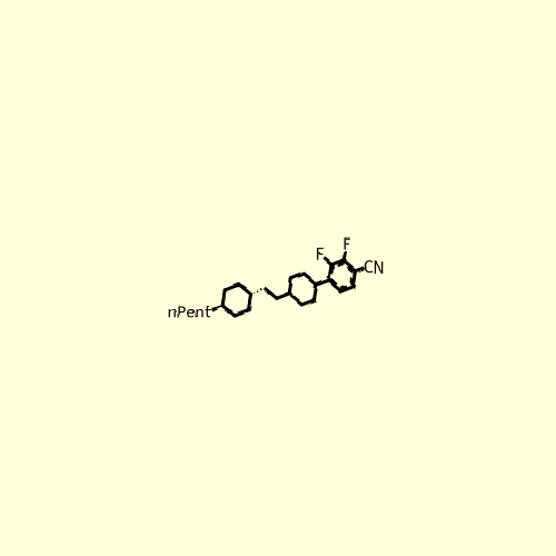 CCCCC[C@H]1CC[C@H](CCC2CCC(c3ccc(C#N)c(F)c3F)CC2)CC1